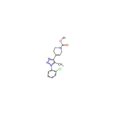 Cc1c(C2=CCN(C(=O)OC(C)C)CC2)nnn1-c1ccccc1Cl